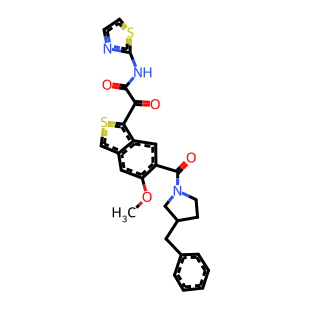 COc1cc2csc(C(=O)C(=O)Nc3nccs3)c2cc1C(=O)N1CCC(Cc2ccccc2)C1